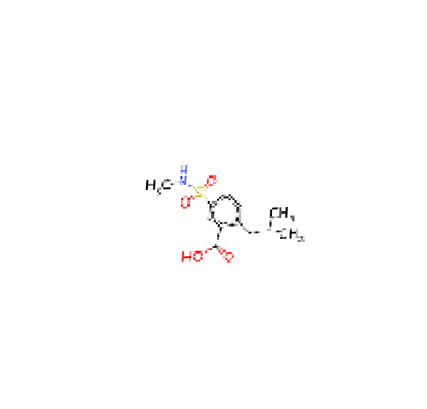 CNS(=O)(=O)c1ccc(CC(C)C)c(C(=O)O)c1